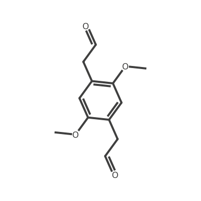 COc1cc(CC=O)c(OC)cc1CC=O